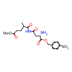 COC(=O)CCC(C)C(=O)NC(=O)C[C@H](N)C(=O)OCc1ccc([N+](=O)[O-])cc1